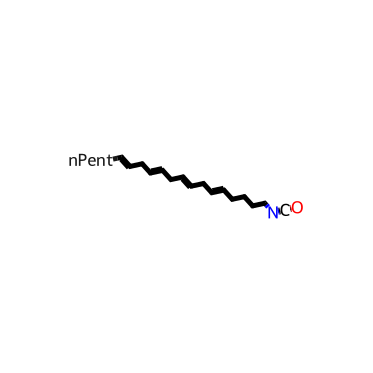 CCCCCC=CCC=CCC=CCC=CCCCCN=C=O